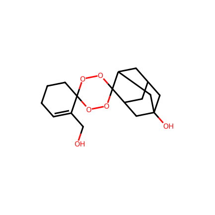 OCC1=CCCCC12OOC1(OO2)C2CC3CC1CC(O)(C3)C2